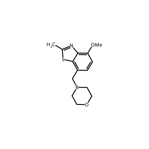 COc1ccc(CB2CCOCC2)c2sc(C)nc12